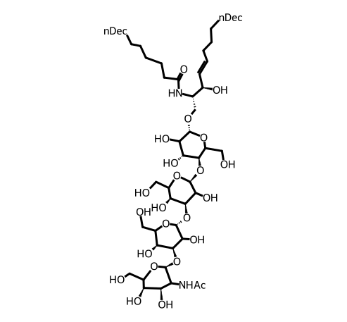 CCCCCCCCCCCCC/C=C/[C@@H](O)[C@H](CO[C@@H]1OC(CO)[C@@H](O[C@@H]2OC(CO)[C@H](O)[C@H](O[C@H]3OC(CO)[C@H](O)[C@H](O[C@@H]4OC(CO)[C@H](O)[C@H](O)C4NC(C)=O)C3O)C2O)[C@H](O)C1O)NC(=O)CCCCCCCCCCCCCCC